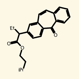 CCC(C(=O)OCCC(C)C)c1ccc2c(=O)c3ccccc3ccc2c1